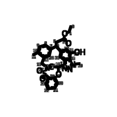 CCOC(=O)CC(c1ccc(C)c(CN2CC(C)Oc3ccccc3S2(=O)=O)c1)c1cc(O)c2c(c1)nnn2C